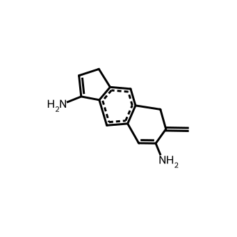 C=C1Cc2cc3c(cc2C=C1N)C(N)=CC3